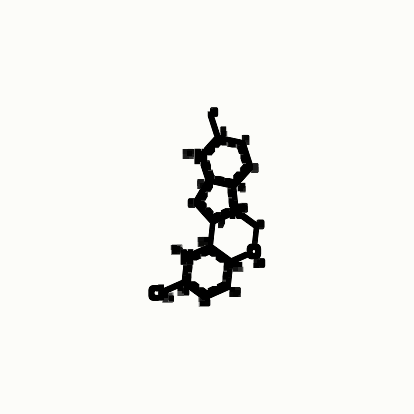 Cc1ccc2c(cc3n2COc2ccc(Cl)nc2-3)n1